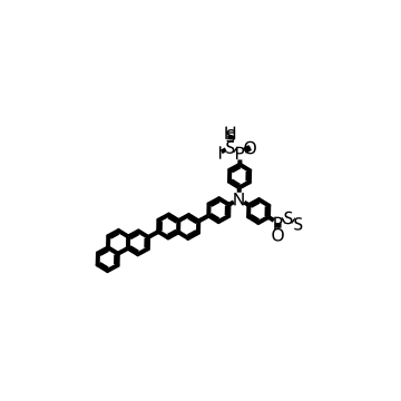 O=P(=S=S)c1ccc(N(c2ccc(-c3ccc4cc(-c5ccc6c(ccc7ccccc76)c5)ccc4c3)cc2)c2ccc(P(=O)=[SH](=S)I)cc2)cc1